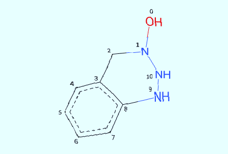 ON1Cc2ccccc2NN1